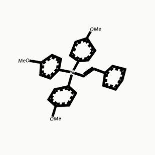 COc1ccc([Si](C=Cc2ccccc2)(c2ccc(OC)cc2)c2ccc(OC)cc2)cc1